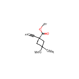 C#CC1(C(=O)OC(C)C)CC(OC)(OC)C1